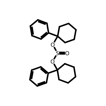 O=S(OC1(c2ccccc2)CCCCC1)OC1(c2ccccc2)CCCCC1